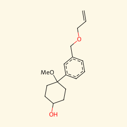 C=CCOCc1cccc(C2(OC)CCC(O)CC2)c1